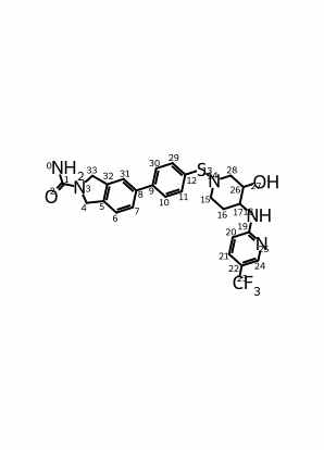 NC(=O)N1Cc2ccc(-c3ccc(SN4CCC(Nc5ccc(C(F)(F)F)cn5)C(O)C4)cc3)cc2C1